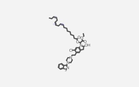 CC/C=C\C/C=C\C/C=C\CCCCCCCC(=O)OC(C(=O)OCC)N1c2cc(Cl)c(CCN3CCN(c4nsc5ccccc45)CC3)cc2CC1O